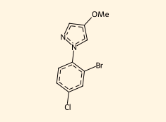 COc1cnn(-c2ccc(Cl)cc2Br)c1